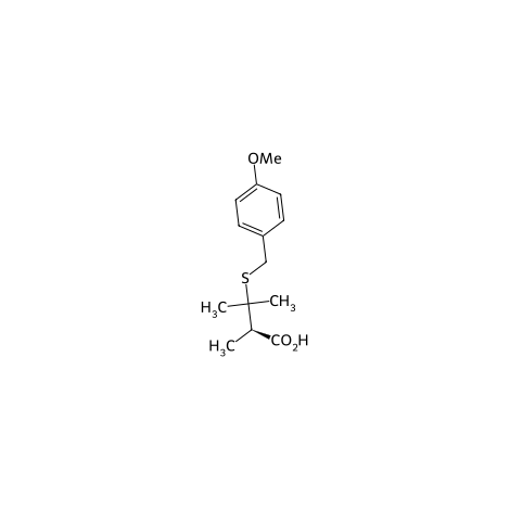 COc1ccc(CSC(C)(C)[C@H](C)C(=O)O)cc1